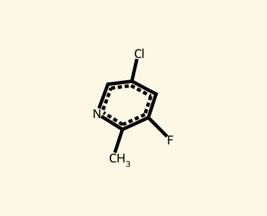 Cc1ncc(Cl)cc1F